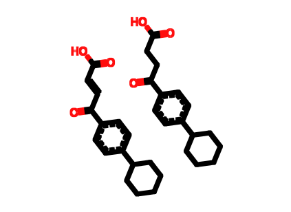 O=C(O)/C=C/C(=O)c1ccc(C2CCCCC2)cc1.O=C(O)CCC(=O)c1ccc(C2CCCCC2)cc1